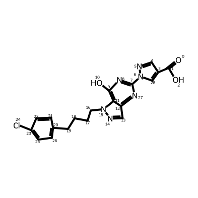 O=C(O)c1cnn(-c2nc(O)c3c(cnn3CCCCc3ccc(Cl)cc3)n2)c1